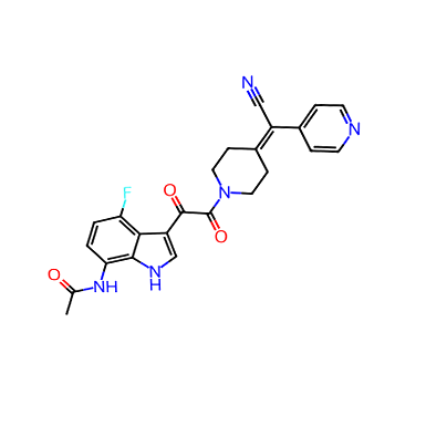 CC(=O)Nc1ccc(F)c2c(C(=O)C(=O)N3CCC(=C(C#N)c4ccncc4)CC3)c[nH]c12